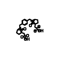 CC1(C)C2CCC1(CS(=O)(=O)O)C(=O)C2Cc1ccc(CC2C(=O)C3(CS(=O)(=O)O)CCC2C3(C)C)cc1